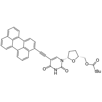 CC(C)(C)C(=O)OC[C@H]1CC[C@@H](n2cc(C#Cc3ccc4c5cccc6cccc(c7cccc3c74)c65)c(=O)[nH]c2=O)O1